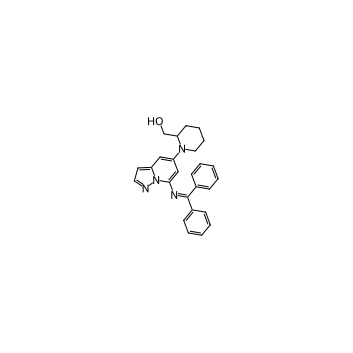 OCC1CCCCN1c1cc(N=C(c2ccccc2)c2ccccc2)n2nccc2c1